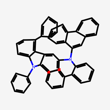 c1ccc(-c2ccccc2N(c2ccc3c(c2)c2c(-c4ccccc4)cccc2n3-c2ccccc2)c2cc3ccccc3c3ccccc23)cc1